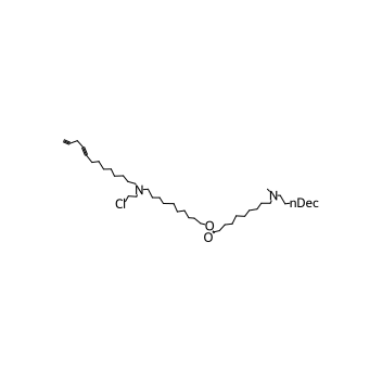 C#CCC#CCCCCCCCCN(CCCl)CCCCCCCCCCOC(=O)CCCCCCCCCN(C)CCCCCCCCCCCC